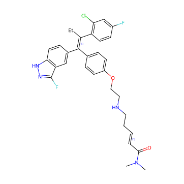 CC/C(=C(/c1ccc(OCCNCC/C=C/C(=O)N(C)C)cc1)c1ccc2[nH]nc(F)c2c1)c1ccc(F)cc1Cl